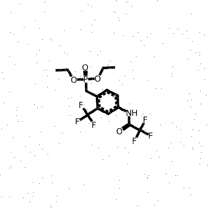 CCOP(=O)(Cc1ccc(NC(=O)C(F)(F)F)cc1C(F)(F)F)OCC